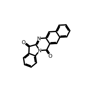 O=C1c2ccccc2-n2c1nc1cc3ccccc3cc1c2=O